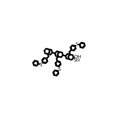 OC1(S)CC2CC(C3CC4CC(C5CC6CCCC(Cc7ccc(Sc8ccccc8)cc7)(C6)C5)CC(Cc5ccc(Sc6ccccc6)cc5)(C4)C3)CC(Cc3ccc(Sc4ccccc4)cc3)(C2)C1